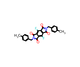 Cc1ccc(Cn2c(=O)c3c(F)c4c(=O)n(Cc5ccc(C)cc5)c(=O)c4c(F)c3c2=O)cc1